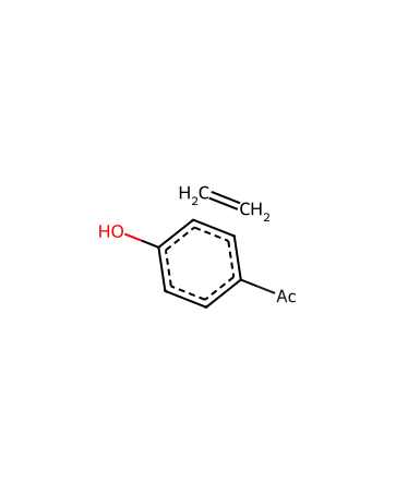 C=C.CC(=O)c1ccc(O)cc1